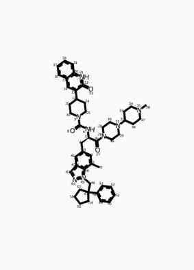 Cc1cc(C[C@@H](NC(=O)N2CCC(c3cc4ccccc4[nH]c3=O)CC2)C(=O)N2CCN(C3CCN(C)CC3)CC2)cc2cnn(CC3(c4ccccc4)CCCC3)c12